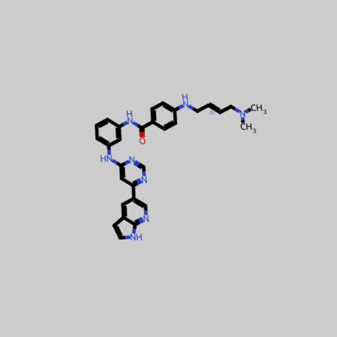 CN(C)C/C=C/CNc1ccc(C(=O)Nc2cccc(Nc3cc(-c4cnc5[nH]ccc5c4)ncn3)c2)cc1